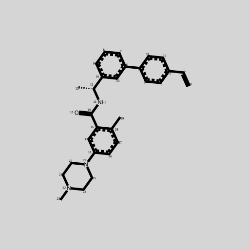 C=Cc1ccc(-c2cccc([C@@H](C)NC(=O)c3cc(N4CCN(C)CC4)ccc3C)c2)cc1